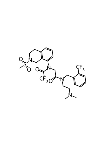 CN(C)CCN(Cc1ccccc1C(F)(F)F)C(=O)CN(C(=O)C(F)(F)F)c1cccc2c1CN(S(C)(=O)=O)CC2